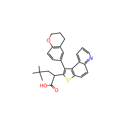 CC(C)(C)CC(C(=O)O)c1sc2ccc3ncccc3c2c1-c1ccc2c(c1)CCCO2